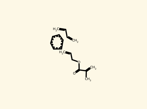 C=CC=C.C=CCOC(=O)C(=C)C.c1ccccc1